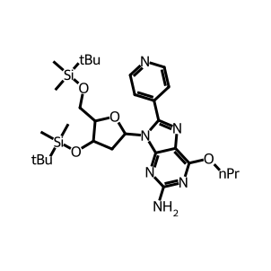 CCCOc1nc(N)nc2c1nc(-c1ccncc1)n2C1CC(O[Si](C)(C)C(C)(C)C)C(CO[Si](C)(C)C(C)(C)C)O1